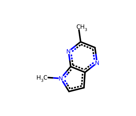 Cc1cnc2ccn(C)c2n1